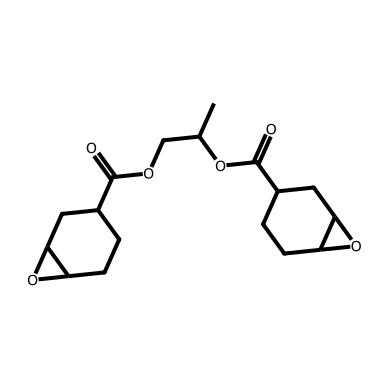 CC(COC(=O)C1CCC2OC2C1)OC(=O)C1CCC2OC2C1